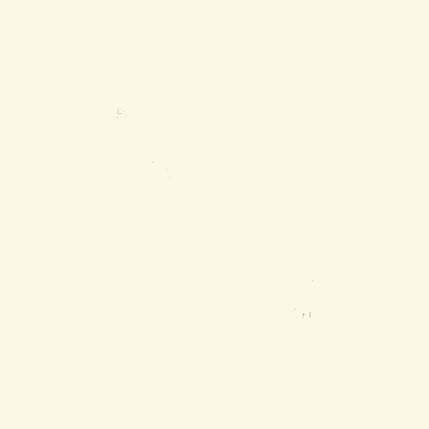 O=C(O)/C=C/CCCCCCCCCCCBr